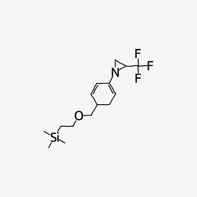 C[Si](C)(C)CCOCC1C=CC(N2CC2C(F)(F)F)=CC1